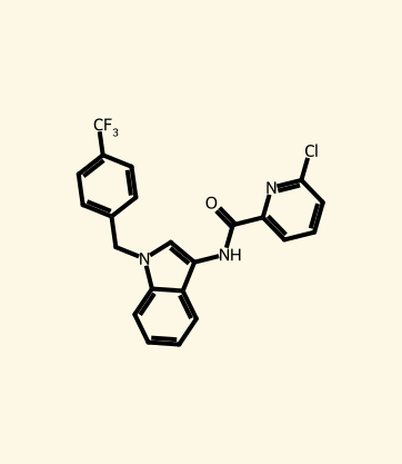 O=C(Nc1cn(Cc2ccc(C(F)(F)F)cc2)c2ccccc12)c1cccc(Cl)n1